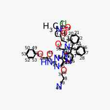 CN(C)P(=O)(Cl)OCC1CN(C(c2ccccc2)(c2ccccc2)c2ccccc2)C(n2cnc3c(OCCC#N)nc(NC(=O)COc4ccccc4)nc32)CO1